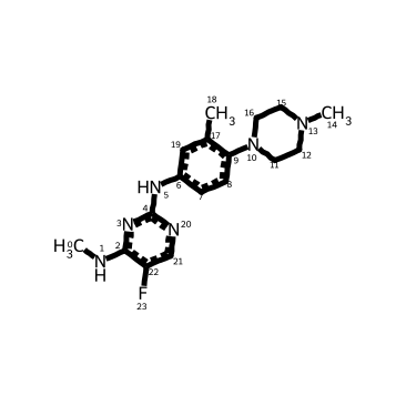 CNc1nc(Nc2ccc(N3CCN(C)CC3)c(C)c2)ncc1F